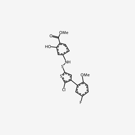 COC(=O)c1ccc(NSc2cc(-c3cc(F)ccc3OC)c(Cl)s2)cc1O